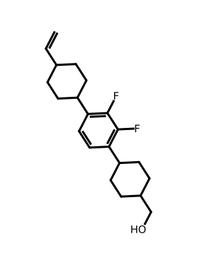 C=CC1CCC(c2ccc(C3CCC(CO)CC3)c(F)c2F)CC1